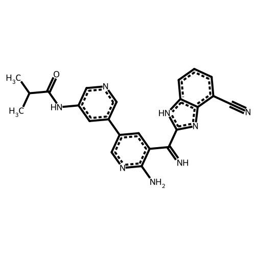 CC(C)C(=O)Nc1cncc(-c2cnc(N)c(C(=N)c3nc4c(C#N)cccc4[nH]3)c2)c1